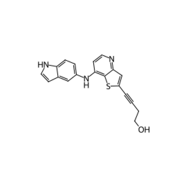 OCCC#Cc1cc2nccc(Nc3ccc4[nH]ccc4c3)c2s1